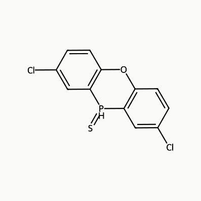 S=[PH]1c2cc(Cl)ccc2Oc2ccc(Cl)cc21